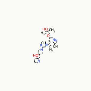 C=N/C(=C\N=C(/C)c1cc(OCC(C)(C)O)cn2ncc(C#N)c12)N1CCC(O)(Cc2ccccn2)CC1